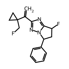 C=C(c1nc2n(n1)C(c1ccccc1)CC2F)C1(CF)CC1